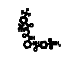 CC(C)(C)NN(CC(=O)N[C@@H]1CCCC[C@@H]1NC(=O)c1ccc(S(N)(=O)=O)cc1)C(=O)c1cccc(C(F)(F)F)c1